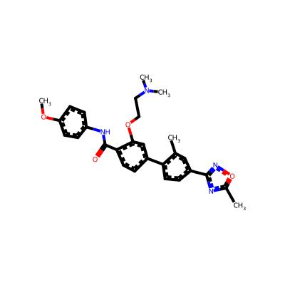 COc1ccc(NC(=O)c2ccc(-c3ccc(-c4noc(C)n4)cc3C)cc2OCCN(C)C)cc1